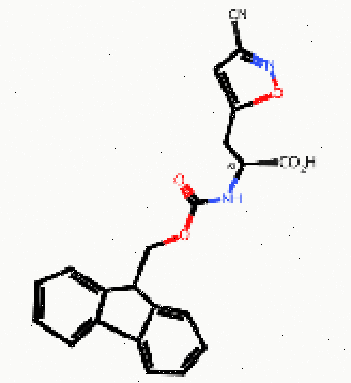 N#Cc1cc(C[C@H](NC(=O)OCC2c3ccccc3-c3ccccc32)C(=O)O)on1